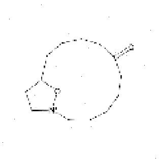 O=C1CCCCC[N+]2=CCC(CCCC1)O2